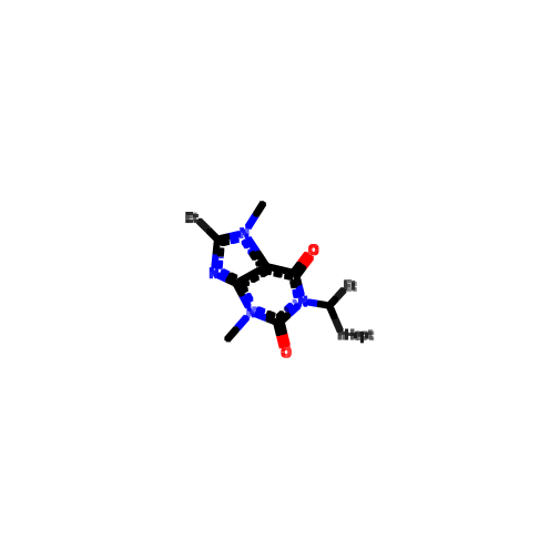 CCCCCCCC(CC)n1c(=O)c2c(nc(CC)n2C)n(C)c1=O